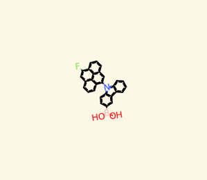 OB(O)c1ccc2c(c1)c1ccccc1n2-c1cc2cccc3c(F)cc4cccc1c4c23